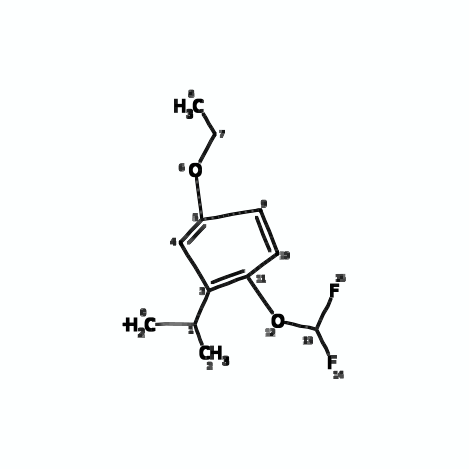 [CH2]C(C)c1cc(OCC)ccc1OC(F)F